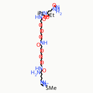 CCC(=O)C(CCCNC(N)=O)NC(=O)C(NC(=O)CCOCCOCCOCCNC(=O)CCOCCOCCOCCNC(=O)C(N)CCCCn1cc[n+](CSC)n1)C(C)C